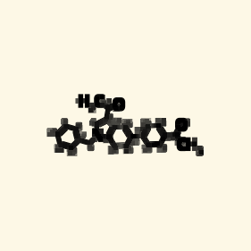 [CH2]C(=O)c1cn(Cc2ccccc2)c2ccc(-c3ccc(C(C)=O)cc3)cc12